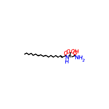 CCCCCCCCCCCCCCCC=CC(=O)N[C@@H](CC(N)=O)C(=O)O